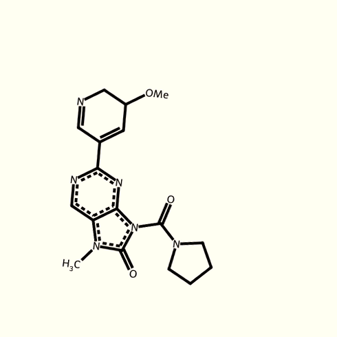 COC1C=C(c2ncc3c(n2)n(C(=O)N2CCCC2)c(=O)n3C)C=NC1